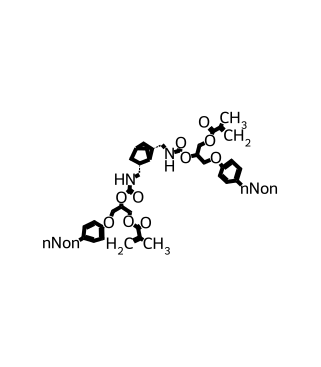 C=C(C)C(=O)OCC(COc1ccc(CCCCCCCCC)cc1)OC(=O)NC[C@@H]1CC2CC1[C@@H](CNC(=O)OC(COC(=O)C(=C)C)COc1ccc(CCCCCCCCC)cc1)C2